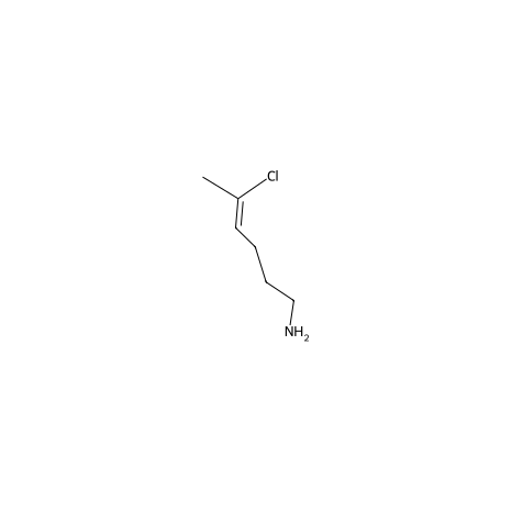 CC(Cl)=CCCCN